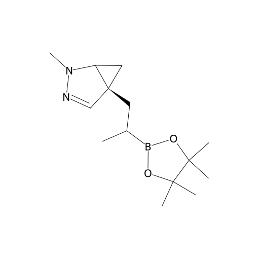 CC(C[C@@]12C=NN(C)C1C2)B1OC(C)(C)C(C)(C)O1